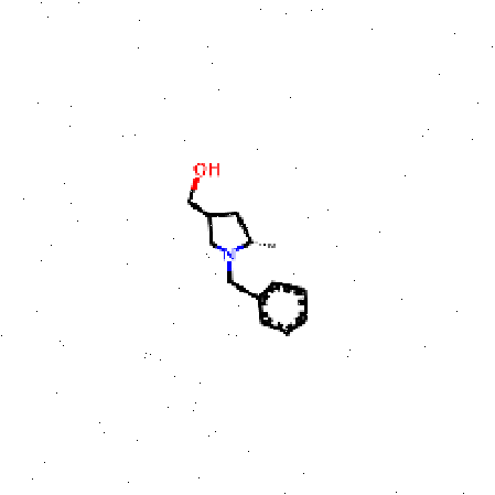 C[C@H]1CC(CO)CN1Cc1ccccc1